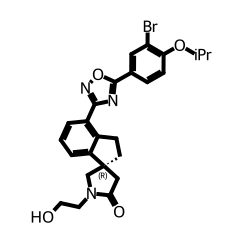 CC(C)Oc1ccc(-c2nc(-c3cccc4c3CC[C@@]43CC(=O)N(CCO)C3)no2)cc1Br